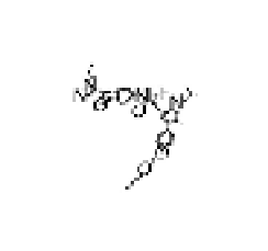 CCCCOCCOc1ccc(-c2cc3c(cc2C)N(CC(C)C)CCCC(C(=O)Nc2ccc([S+]([O-])Cc4cncn4CCC)cc2)=C3)cc1